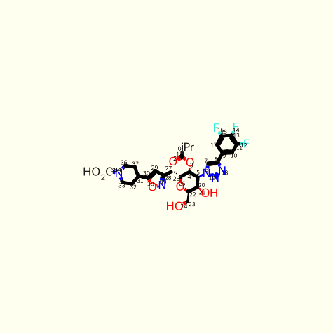 CC(C)C(=O)O[C@@H]1[C@@H](n2cc(-c3cc(F)c(F)c(F)c3)nn2)[C@@H](O)[C@@H](CO)O[C@@H]1Cc1cc(C2CCN(C(=O)O)CC2)on1